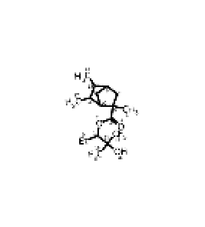 CCC(OC(=O)C1(C)CC2CC1C(C)C2C)C(O)(C(F)(F)F)C(F)(F)F